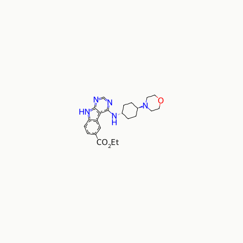 CCOC(=O)c1ccc2[nH]c3ncnc(N[C@H]4CC[C@H](N5CCOCC5)CC4)c3c2c1